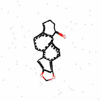 O=C1CCC=c2ccc3c4c(ccc3c21)=C1OCOC1=C4